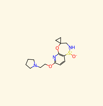 [O-][S+]1NCC2(CC2)Oc2nc(OCCN3CCCC3)ccc21